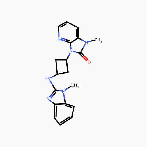 Cn1c(NC2CC(n3c(=O)n(C)c4cccnc43)C2)nc2ccccc21